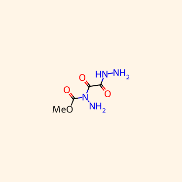 COC(=O)N(N)C(=O)C(=O)NN